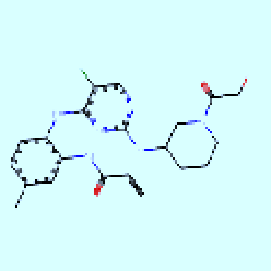 C=CC(=O)Nc1cc(C)ccc1Nc1nc(NC2CCCN(C(=O)CO)C2)ncc1Cl